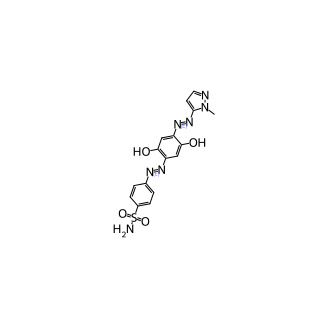 Cn1nccc1/N=N/c1cc(O)c(/N=N/c2ccc(S(N)(=O)=O)cc2)cc1O